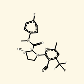 Cc1cc(C(F)(F)F)c(C#N)c(N2CC[C@H](O)[C@H]2C(=O)N(C)c2ccc(F)cc2)n1